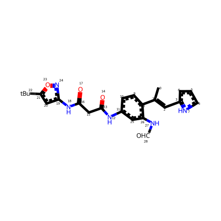 C/C(=C\c1ccc[nH]1)c1ccc(NC(=O)CC(=O)Nc2cc(C(C)(C)C)on2)cc1NC=O